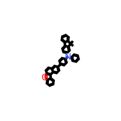 CC1(C)c2ccccc2-c2ccc(N(c3ccccc3)c3ccc(-c4ccc5c(ccc6oc7ccccc7c65)c4)cc3)cc21